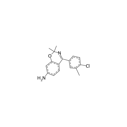 Cc1cc(C2=NC(C)(C)Oc3cc(N)ccc32)ccc1Cl